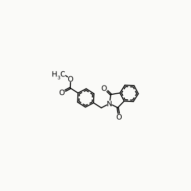 COC(=O)c1ccc(CN2C(=O)c3ccccc3C2=O)cc1